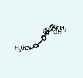 CC(O)c1nccn1Cc1cc(-c2ccc(C#Cc3ccc(CN4CCN(C)CC4)cc3)cc2)on1